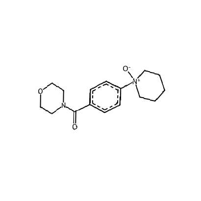 O=C(c1ccc([N+]2([O-])CCCCC2)cc1)N1CCOCC1